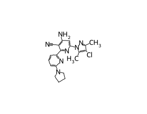 Cc1nn(-c2cc(N)c(C#N)c(-c3cccc(N4CCCC4)n3)n2)c(C)c1Cl